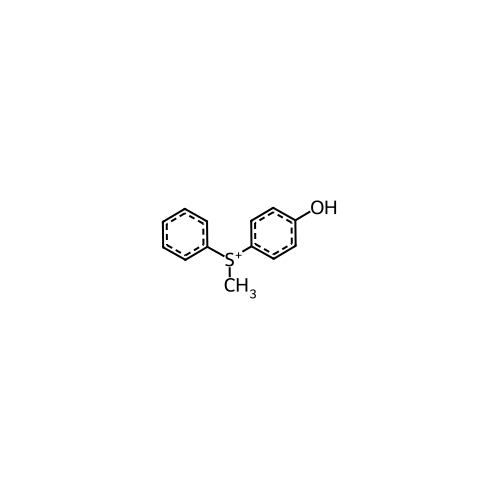 C[S+](c1ccccc1)c1ccc(O)cc1